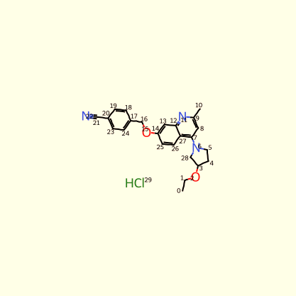 CCOC1CCN(c2cc(C)nc3cc(OCc4ccc(C#N)cc4)ccc23)C1.Cl